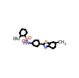 Cc1ccc2nc(-c3ccc(NS(=O)(=O)c4ccccc4C(C)(C)C)cc3)sc2c1